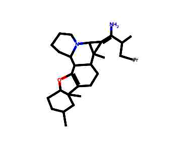 CC(C)CC(C)/C(N)=C1/C2N3CCCCC3C3C4=C(CCC3C12C)C1(C)CC(C)CCC1O4